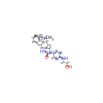 CN(C)[C@]1(c2ccccc2)CC[C@@]2(CC1)CN(c1cnc(NCCO)nc1)C(=O)N2